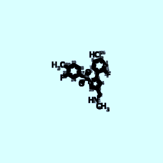 CNCc1cc(-c2cccnc2F)n(S(=O)(=O)c2ccc(C)c(F)c2)c1.Cl